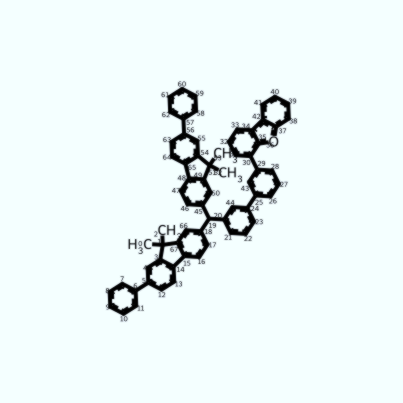 CC1(C)c2cc(-c3ccccc3)ccc2-c2ccc(C(c3cccc(-c4cccc(-c5cccc6c5oc5ccccc56)c4)c3)c3ccc4c(c3)C(C)(C)c3cc(-c5ccccc5)ccc3-4)cc21